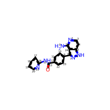 Nc1nccc2[nH]nc(-c3ccc(C(=O)Nc4ccccn4)cc3)c12